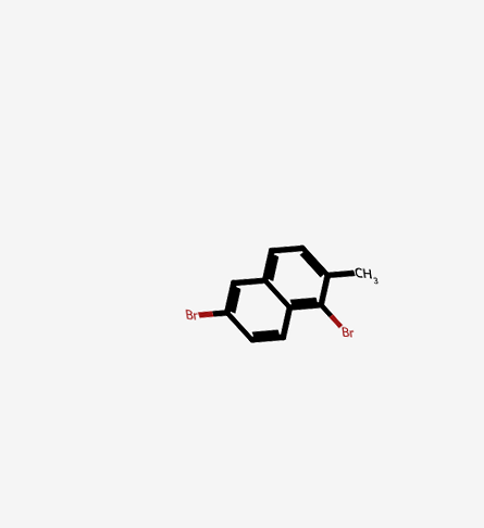 Cc1ccc2cc(Br)ccc2c1Br